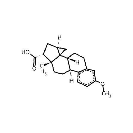 COc1ccc2c(c1)CC[C@@H]1[C@@H]2CC[C@]2(C)[C@H](C(=O)O)C[C@H]3C[C@@]312